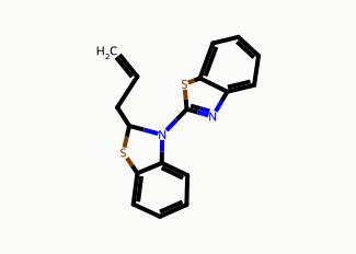 C=CCC1Sc2ccccc2N1c1nc2ccccc2s1